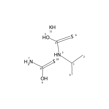 CC(C)NC(O)=S.NC(O)=S.[KH]